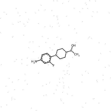 CB(O)N1CCN(c2ccc(N)cc2F)CC1